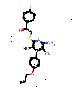 C=CCOc1ccc(-c2c(C#N)c(N)nc(SCC(=O)c3ccc(F)cc3)c2C#N)cc1